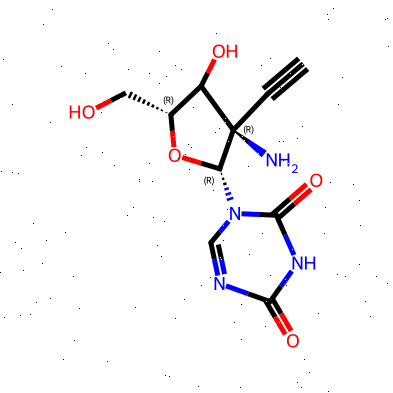 C#C[C@@]1(N)C(O)[C@@H](CO)O[C@H]1n1cnc(=O)[nH]c1=O